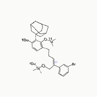 C[SiH](C)Oc1c(CC/C=C(\CO[Si](C)(C)C(C)(C)C)c2cccc(Br)c2)ccc(C(C)(C)C)c1C12CC3CC(CC(C3)C1)C2